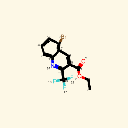 CCOC(=O)c1cc2c(Br)cccc2nc1C(F)(F)F